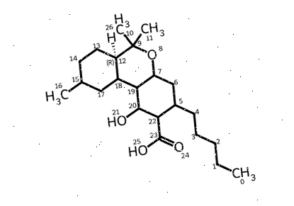 CCCCCC1CC2OC(C)(C)[C@@H]3CCC(C)CC3C2C(O)C1C(=O)O